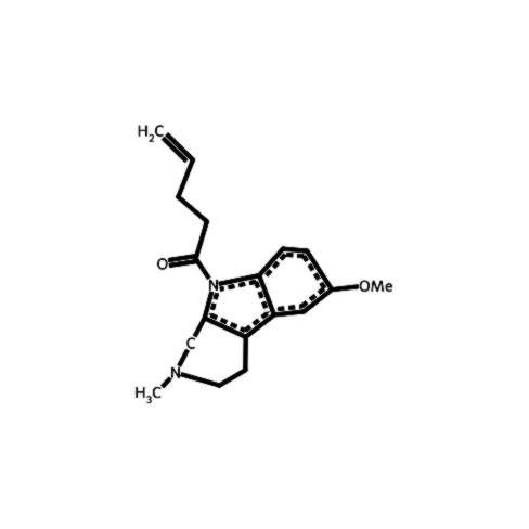 C=CCCC(=O)n1c2c(c3cc(OC)ccc31)CCN(C)C2